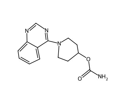 NC(=O)OC1CCN(c2ncnc3ccccc23)CC1